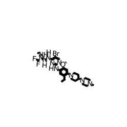 CCc1cc(Nc2ncc(Br)c(NNN(NC)C(F)F)n2)c(OC)cc1N1CCC(N2CCN(C)CC2)CC1